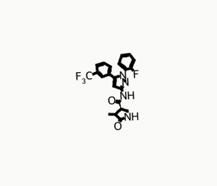 CC1C(=O)NC[C@@H]1C(=O)Nc1cc(-c2cccc(C(F)(F)F)c2)n(-c2ccccc2F)n1